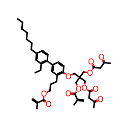 C=C(C)C(=O)OCCCc1cc(-c2ccc(CCCCCCC)cc2CC)ccc1OCC(COC(=O)CC(C)=O)(COC(=O)CC(C)=O)COC(=O)C(=C)C